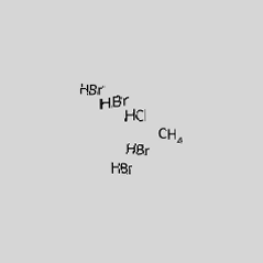 Br.Br.Br.Br.C.Cl